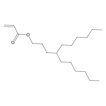 C=CC(=O)OCCCC(CCCCCC)CCCCCC